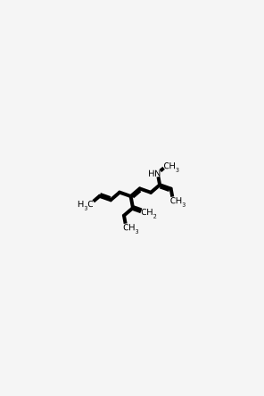 C=C(CC)/C(=C\C/C(=C\C)NC)C/C=C/C